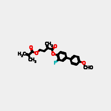 C=C(C)C(=O)OCCC(=C)C(=O)Oc1ccc(-c2ccc(OC=O)cc2)cc1F